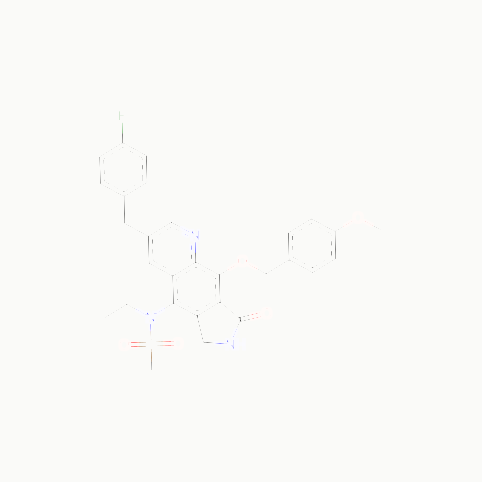 CCN(c1c2c(c(OCc3ccc(OC)cc3)c3ncc(Cc4ccc(F)cc4)cc13)C(=O)NC2)S(C)(=O)=O